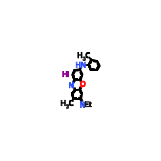 CC/N=c1\cc2oc3cc(Nc4ccccc4C)ccc3nc-2cc1C.I